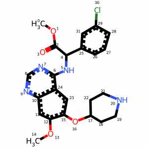 COC(=O)C(Nc1ncnc2cc(OC)c(OC3CCNCC3)cc12)c1cccc(Cl)c1